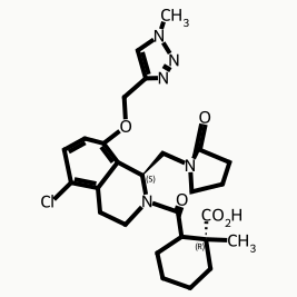 Cn1cc(COc2ccc(Cl)c3c2[C@@H](CN2CCCC2=O)N(C(=O)C2CCCC[C@@]2(C)C(=O)O)CC3)nn1